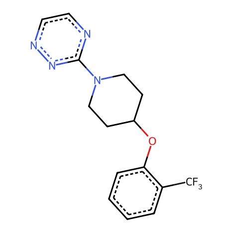 FC(F)(F)c1ccccc1OC1CCN(c2nccnn2)CC1